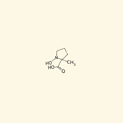 CC1(C(=O)O)CCCN1O